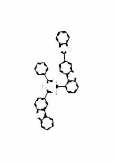 c1ccc(-c2nc(-c3ccc4sc5ccccc5c4c3)nc(-c3cccc4oc5cc(-c6nc7ccccc7s6)ccc5c34)n2)cc1